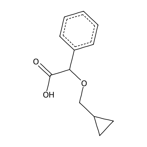 O=C(O)C(OCC1CC1)c1ccccc1